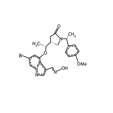 COc1ccc([C@@H](C)N2C[C@H]([C@@H](C)Oc3cc(Br)cn4ncc(C=NO)c34)CC2=O)cc1